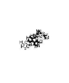 COc1c(C)ncc(C(=O)Nc2nnc(OC3(C)COC3)s2)c1-c1ccnc(Cl)c1